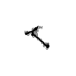 CC(C)[C@H](NC(=O)CCOCCOCCOCCOCCNC(=O)CCN1C(=O)C=CC1=O)C(=O)N[C@@H](CCCCNC(=O)OC(C)(C)C)C(=O)Nc1ccc(CO)cc1